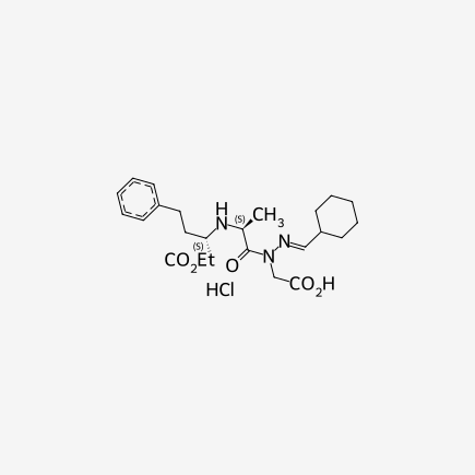 CCOC(=O)[C@H](CCc1ccccc1)N[C@@H](C)C(=O)N(CC(=O)O)N=CC1CCCCC1.Cl